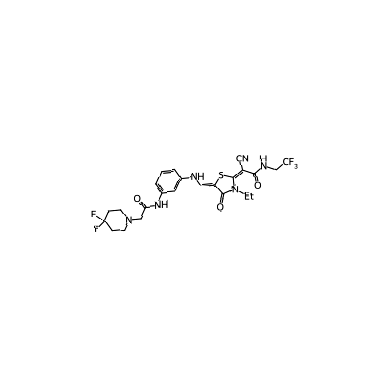 CCn1c(=C(C#N)C(=O)NCC(F)(F)F)sc(=CNc2cccc(NC(=O)CN3CCC(F)(F)CC3)c2)c1=O